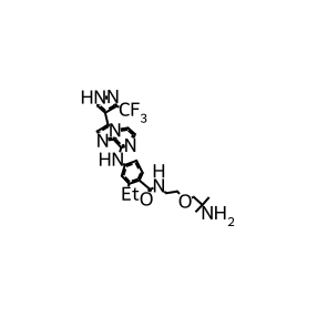 CCc1cc(Nc2nccn3c(-c4c[nH]nc4C(F)(F)F)cnc23)ccc1C(=O)NCCOCC(C)(C)N